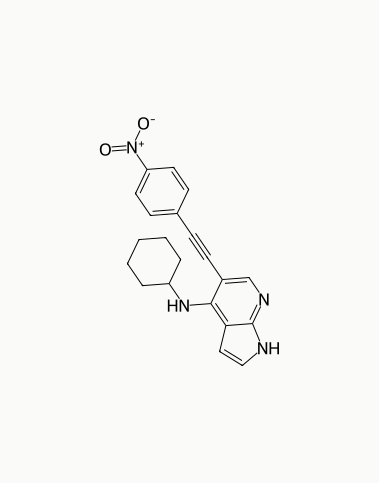 O=[N+]([O-])c1ccc(C#Cc2cnc3[nH]ccc3c2NC2CCCCC2)cc1